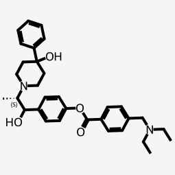 CCN(CC)Cc1ccc(C(=O)Oc2ccc(C(O)[C@H](C)N3CCC(O)(c4ccccc4)CC3)cc2)cc1